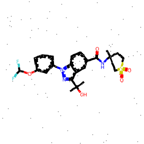 CC1(NC(=O)c2ccc3c(c2)c(C(C)(C)O)nn3-c2cccc(OC(F)F)c2)CCS(=O)(=O)C1